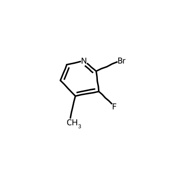 Cc1ccnc(Br)c1F